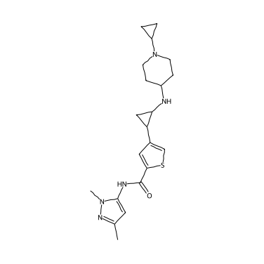 Cc1cc(NC(=O)c2cc(C3CC3NC3CCN(C4CC4)CC3)cs2)n(C)n1